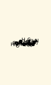 CC(C)Nc1cc(-n2ccc3cc(C#N)cnc32)ncc1C(=O)NC1CCN(Cc2ccccc2NC2CCC(=O)NC2=O)CC1